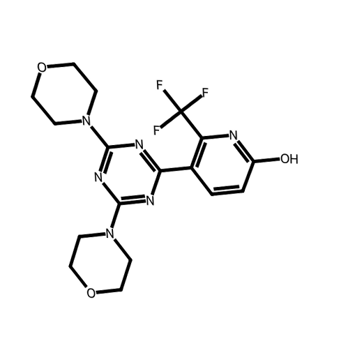 Oc1ccc(-c2nc(N3CCOCC3)nc(N3CCOCC3)n2)c(C(F)(F)F)n1